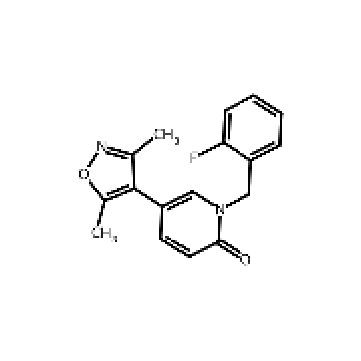 Cc1noc(C)c1-c1ccc(=O)n(Cc2ccccc2F)c1